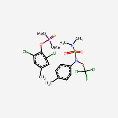 COP(=S)(OC)Oc1c(Cl)cc(C)cc1Cl.Cc1ccc(N(SC(F)(Cl)Cl)S(=O)(=O)N(C)C)cc1